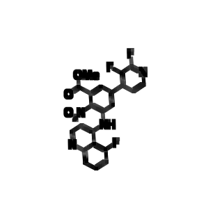 COC(=O)c1cc(-c2ccnc(F)c2F)cc(Nc2ccnc3cccc(F)c23)c1[N+](=O)[O-]